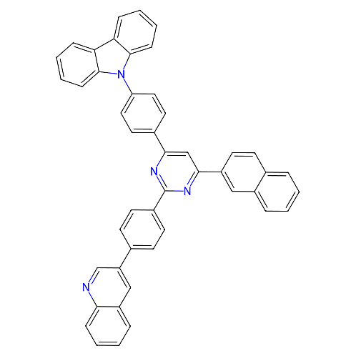 c1ccc2cc(-c3cc(-c4ccc(-n5c6ccccc6c6ccccc65)cc4)nc(-c4ccc(-c5cnc6ccccc6c5)cc4)n3)ccc2c1